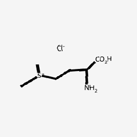 C[S+](C)CCC(N)C(=O)O.[Cl-]